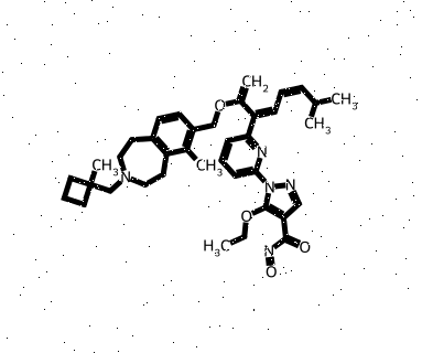 C=C(OCc1ccc2c(c1C)CCN(CC1(C)CCC1)CC2)/C(=C\C=C/C(C)C)c1cccc(-n2ncc(C(=O)N=O)c2OCC)n1